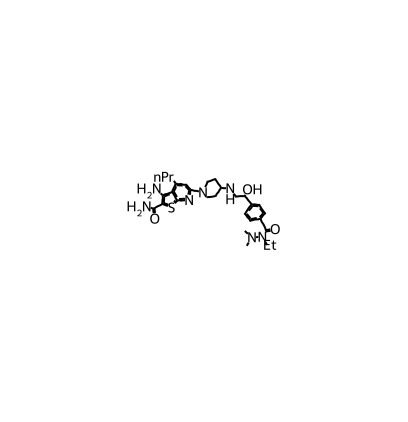 CCCc1cc(N2CCC(NCC(O)c3ccc(C(=O)N(CC)N(C)C)cc3)CC2)nc2sc(C(N)=O)c(N)c12